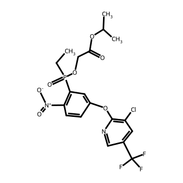 CCP(=O)(OCC(=O)OC(C)C)c1cc(Oc2ncc(C(F)(F)F)cc2Cl)ccc1[N+](=O)[O-]